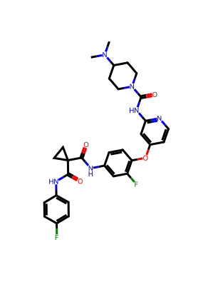 CN(C)C1CCN(C(=O)Nc2cc(Oc3ccc(NC(=O)C4(C(=O)Nc5ccc(F)cc5)CC4)cc3F)ccn2)CC1